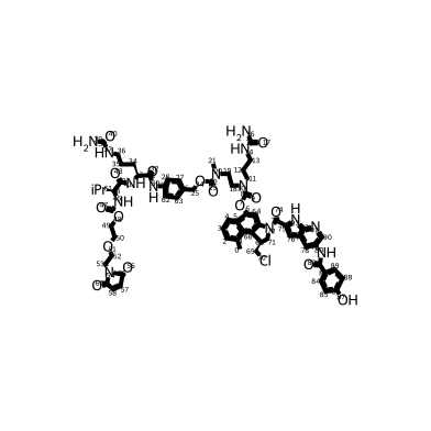 Cc1cccc2c(OC(=O)N(CCCNC(N)=O)CCN(C)C(=O)OCc3ccc(NC(=O)[C@H](CCCNC(N)=O)NC(=O)[C@@H](NC(=O)OCCOCCN4C(=O)C=CC4=O)C(C)C)cc3)cc3c(c12)[C@H](CCl)CN3C(=O)c1cc2cc(NC(=O)c3ccc(O)cc3)cnc2[nH]1